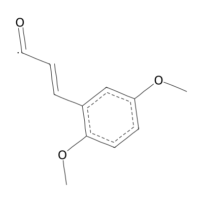 COc1ccc(OC)c(/C=C/[C]=O)c1